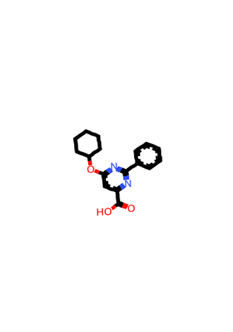 O=C(O)c1cc(OC2CCCCC2)nc(-c2ccccc2)n1